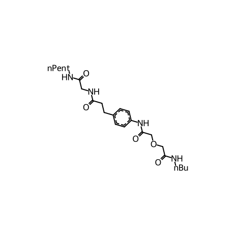 CCCCCNC(=O)CNC(=O)CCc1ccc(NC(=O)COCC(=O)NCCCC)cc1